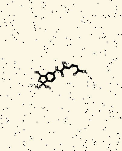 C=C(Cl)/C=C\C=C(/C)C(=O)Nc1ccc2c(c1)B(O)OC2(C)C